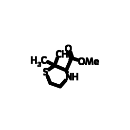 COC(=O)C1NCCSC1(C)C